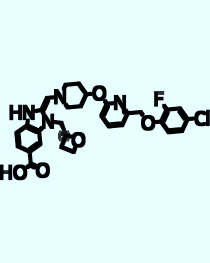 O=C(O)c1ccc2c(c1)N(C[C@@H]1CCO1)C(=CN1CCC(Oc3cccc(COc4ccc(Cl)cc4F)n3)CC1)N2